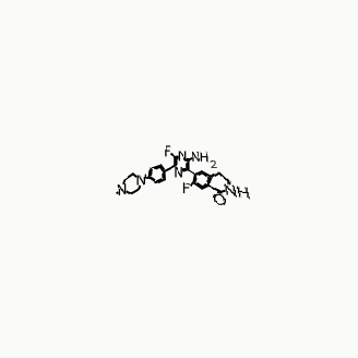 CN1CCN(c2ccc(-c3nc(-c4cc5c(cc4F)C(=O)NCC5)c(N)nc3F)cc2)CC1